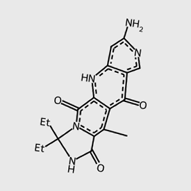 CCC1(CC)NC(=O)c2c(C)c3c(=O)c4cnc(N)cc4[nH]c3c(=O)n21